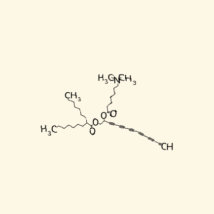 C#CC#CC#CC#CC#CC#CC(COC(=O)C(CCCCCCC)CCCCCCC)OC(=O)CCCCCCN(C)C